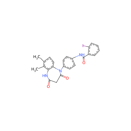 Cc1ccc2c(c1C)NC(=O)CC(=O)N2c1ccc(NC(=O)c2ccccc2I)cc1